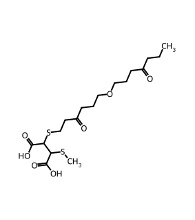 CCCC(=O)CCCOCCCC(=O)CCSC(C(=O)O)C(SC)C(=O)O